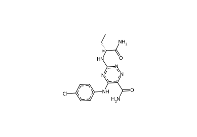 CC[C@@H](Nc1nnc(C(N)=O)c(Nc2ccc(Cl)cc2)n1)C(N)=O